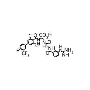 N=C(N)Nc1cccc(C(=O)NCC(=O)NC[C@H](NC(=O)c2c(Cl)cc(-c3ccc(F)c(C(F)(F)F)c3)cc2Cl)C(=O)O)c1